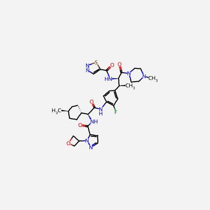 C[C@@H](c1ccc(NC(=O)[C@@H](NC(=O)c2ccnn2C2COC2)[C@H]2CC[C@H](C)CC2)c(F)c1)[C@@H](NC(=O)c1cnns1)C(=O)N1CCN(C)CC1